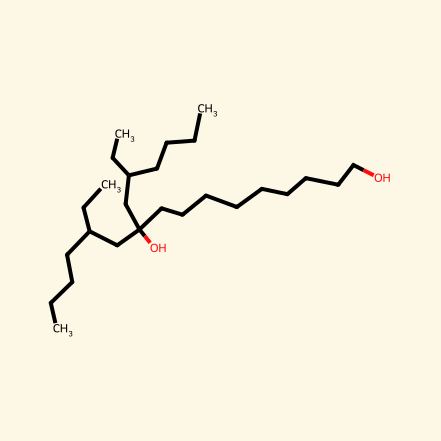 CCCCC(CC)CC(O)(CCCCCCCCCO)CC(CC)CCCC